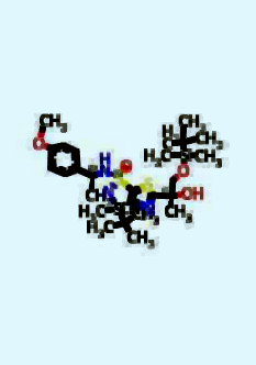 COc1ccc([C@H](C)N[S@](=O)(=N[Si](C)(C)C(C)(C)C)c2cnc([C@@](C)(O)CO[Si](C)(C)C(C)(C)C)s2)cc1